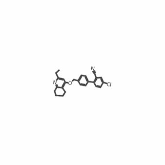 CCc1cc(OCc2ccc(-c3ccc(Cl)cc3C#N)cc2)c2c(n1)CCCC2